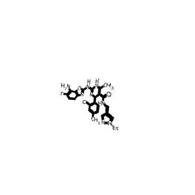 CCn1cc(CNC(=O)C2=C(C)NC(Nc3nc4ccc(F)c(N)c4o3)=NC2c2ccc(C)cc2Cl)cn1